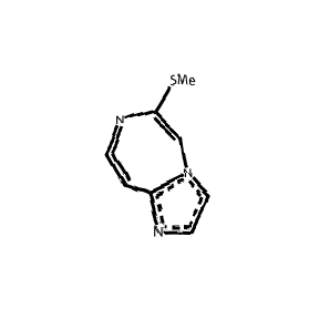 CSC1=Cn2ccnc2C=C=N1